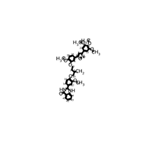 C=C(CCOc1cc(-c2cc(-c3cc(OC)c(OC)c(OC)c3)no2)ccc1OC)COc1ccc(C2NC(=O)c3ccccc3N2)cc1OC